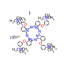 C[N+](C)(C)c1cccc(Oc2cccc3c2-c2nc-3nc3[n-]c(nc4nc(nc5[n-]c(n2)c2cccc(Oc6cccc([N+](C)(C)C)c6)c52)-c2cccc(Oc5cccc([N+](C)(C)C)c5)c2-4)c2cccc(Oc4cccc([N+](C)(C)C)c4)c32)c1.[I-].[I-].[I-].[I-].[Zn+2]